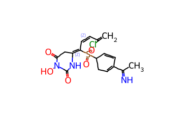 C=C(Cl)/C=C\C(=C1/CC(=O)N(O)C(=O)N1)S(=O)(=O)C1C=CC(C(C)=N)=CC1